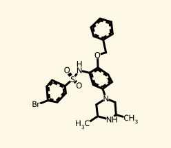 CC1CN(c2ccc(OCc3ccccc3)c(NS(=O)(=O)c3ccc(Br)cc3)c2)CC(C)N1